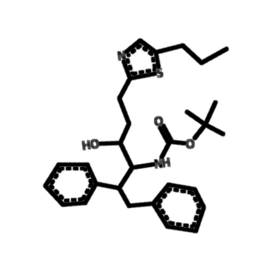 CCCc1cnc(CCC(O)C(NC(=O)OC(C)(C)C)C(Cc2ccccc2)c2ccccc2)s1